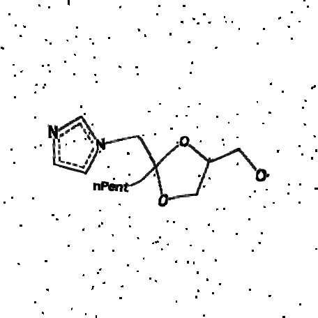 CCCCCC1(Cn2ccnc2)OCC(C[O])O1